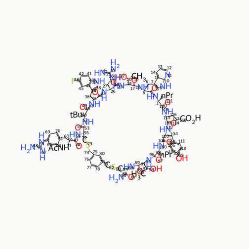 CCC[C@@H]1NC(=O)[C@H](Cc2c[nH]c3ncccc23)NC(=O)[C@H]([C@@H](C)O)NC(=O)[C@H](CNC(=N)N)NC(=O)[C@H](Cc2c[nH]c3ccc(F)cc23)NC(=O)C(C(C)(C)C)NC(=O)[C@@H](NC(=O)C(Cc2ccc(NC(=N)N)cc2)NC(C)=O)CSCc2cccc(c2)CSC[C@@H](C(N)=O)NC(=O)[C@H]([C@@H](C)O)NC(=O)[C@H](CCC)NC(=O)[C@H](Cc2ccc(O)cc2)NC(=O)[C@H](CCC(=O)O)NC1=O